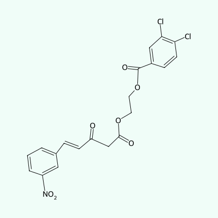 O=C(C=Cc1cccc([N+](=O)[O-])c1)CC(=O)OCCOC(=O)c1ccc(Cl)c(Cl)c1